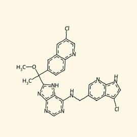 COC(C)(c1ccc2ncc(Cl)cc2c1)c1nc2ncnc(NCc3cnc4[nH]cc(Cl)c4c3)c2[nH]1